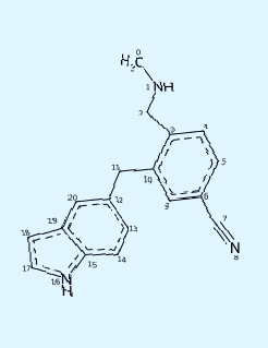 CNCc1ccc(C#N)cc1Cc1ccc2[nH]ccc2c1